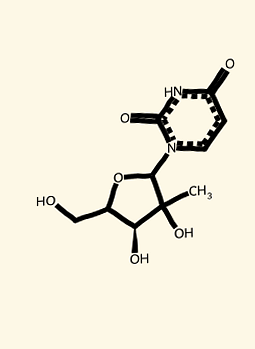 CC1(O)C(n2ccc(=O)[nH]c2=O)OC(CO)[C@@H]1O